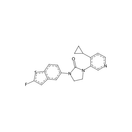 O=C1N(c2ccc3sc(F)cc3c2)CCN1c1cnccc1C1CC1